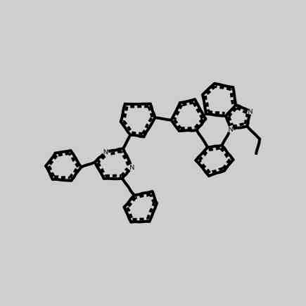 CCc1nc2ccccc2n1-c1ccccc1-c1cccc(-c2cccc(-c3nc(-c4ccccc4)cc(-c4ccccc4)n3)c2)c1